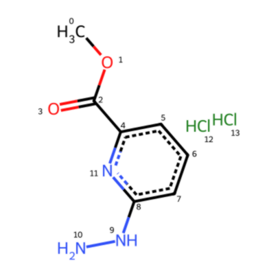 COC(=O)c1cccc(NN)n1.Cl.Cl